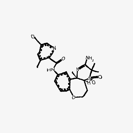 Cc1cc(Cl)cnc1C(=O)Nc1ccc2c(c1)[C@]1(C)N=C(N)C(C)(C)S(=O)(=O)[C@H]1CCO2